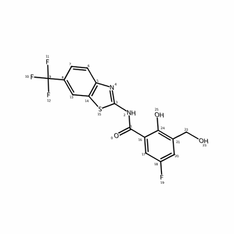 O=C(Nc1nc2ccc(C(F)(F)F)cc2s1)c1cc(F)cc(CO)c1O